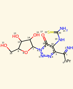 CCCC(=N)c1nnn(C2OC(CO)C(O)C2O)c(=O)c1NC(N)=S